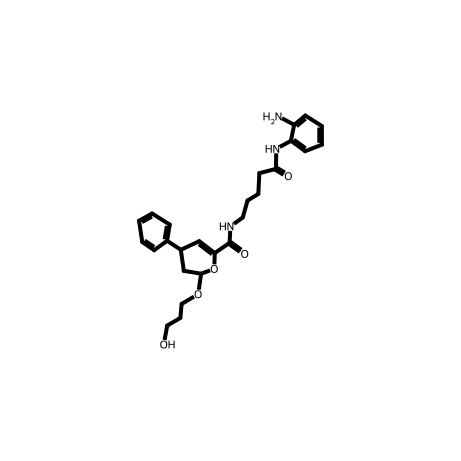 Nc1ccccc1NC(=O)CCCCNC(=O)C1=CC(c2ccccc2)CC(OCCCO)O1